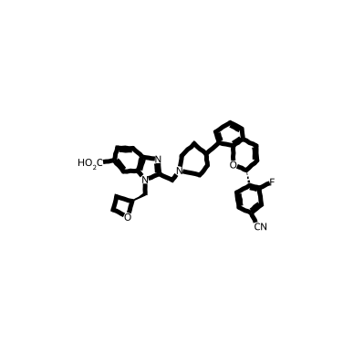 N#Cc1ccc([C@H]2C=Cc3cccc(C4CCN(Cc5nc6ccc(C(=O)O)cc6n5C[C@@H]5CCO5)CC4)c3O2)c(F)c1